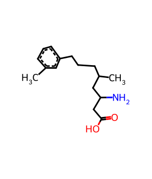 Cc1cccc(CCCC(C)CC(N)CC(=O)O)c1